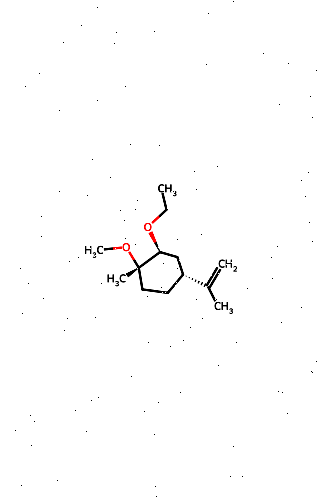 C=C(C)[C@@H]1CC[C@](C)(OC)[C@@H](OCC)C1